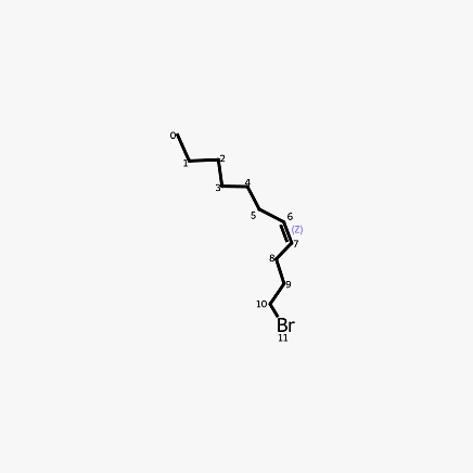 CCCCCC/C=C\CCCBr